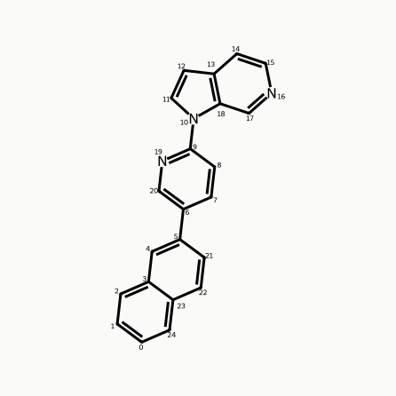 c1ccc2cc(-c3ccc(-n4ccc5ccncc54)nc3)ccc2c1